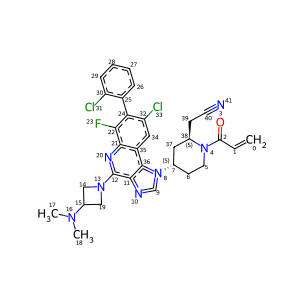 C=CC(=O)N1CC[C@H](n2cnc3c(N4CC(N(C)C)C4)nc4c(F)c(-c5ccccc5Cl)c(Cl)cc4c32)C[C@H]1CC#N